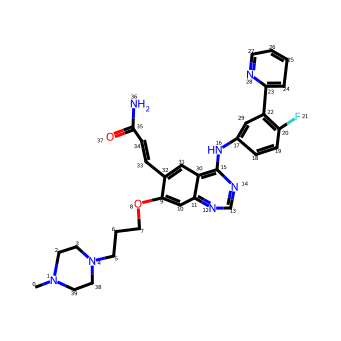 CN1CCN(CCCOc2cc3ncnc(Nc4ccc(F)c(-c5ccccn5)c4)c3cc2C=CC(N)=O)CC1